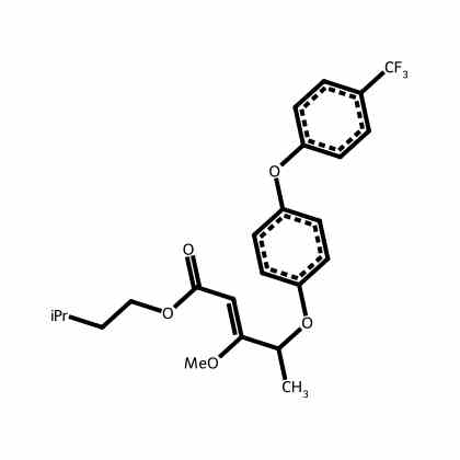 COC(=CC(=O)OCCC(C)C)C(C)Oc1ccc(Oc2ccc(C(F)(F)F)cc2)cc1